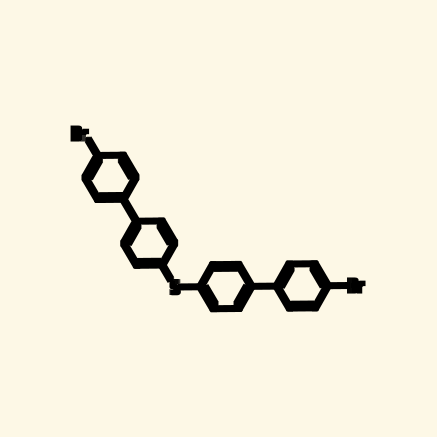 Brc1ccc(-c2ccc(Sc3ccc(-c4ccc(Br)cc4)cc3)cc2)cc1